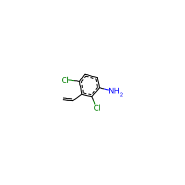 C=Cc1c(Cl)ccc(N)c1Cl